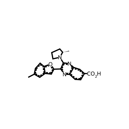 Cc1ccc2oc(-c3nc4ccc(C(=O)O)cc4nc3N3CCC[C@@H]3C)cc2c1